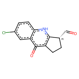 O=C[C@@H]1CCc2c1[nH]c1ccc(Cl)cc1c2=O